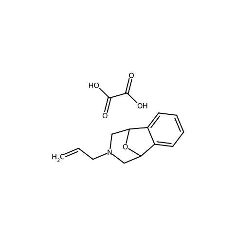 C=CCN1CC2OC(C1)c1ccccc12.O=C(O)C(=O)O